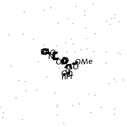 CCCOC(=O)N1C[C@@H](CC(=O)OC)[C@@H](c2cccc(OCCc3nc(-c4ccccc4)oc3C)c2)C1